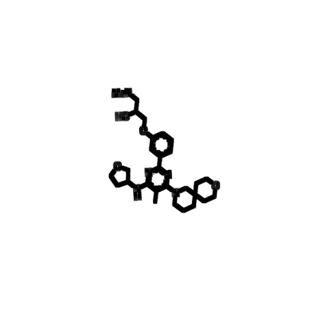 CNCC(O)COc1cccc(-c2nc(NC3CCOC3)c(C)c(N3CCCC4(CCOCC4)C3)n2)c1